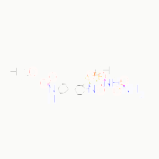 COCCOC(=O)Nc1ccc(-c2ccc3nc(C(C(=O)NCCS(N)(=O)=O)S(C)(=O)=O)sc3c2)cc1